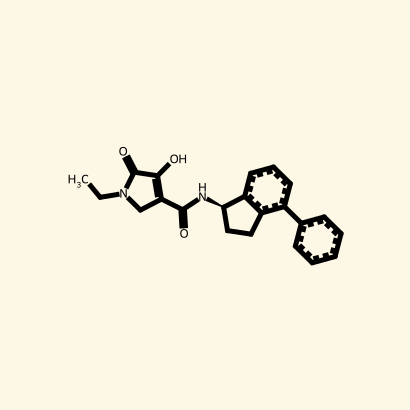 CCN1CC(C(=O)N[C@@H]2CCc3c(-c4ccccc4)cccc32)=C(O)C1=O